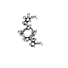 Nc1nc2c(ncn2[C@@H]2OC3CNS(=O)(=O)O[C@H]4C(n5cnc6c(N)ncnc65)CO[C@H]4COP(=O)(S)O[C@@H]2C3)c(=O)[nH]1